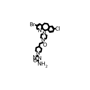 Nc1nc(N2CCC(CC(=O)N3CCN(C4c5ccc(Cl)cc5CCc5cc(Br)cnc54)CC3)CC2)no1